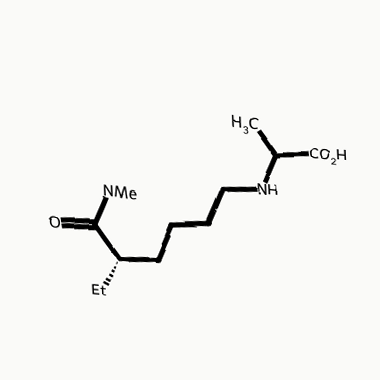 CC[C@@H](CCCCNC(C)C(=O)O)C(=O)NC